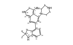 CCC(C)C1=c2c(N3CCNCC3)nc(-c3ccnc4c3CC(C)(C)N4)nc2=CNC1